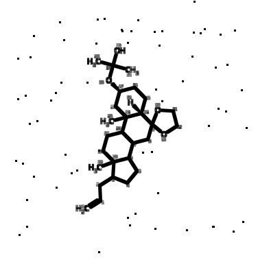 C=CCC1CCC2C3CC4(OCCO4)[C@H]4CC[C@H](OC(C)(C)O)CC4(C)C3CCC12C